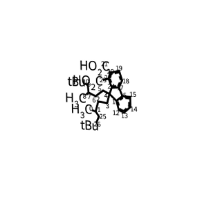 CC(CCC1(CCC(C)CC(C)(C)C)c2ccccc2-c2ccc(C(=O)O)c(C(=O)O)c21)CC(C)(C)C